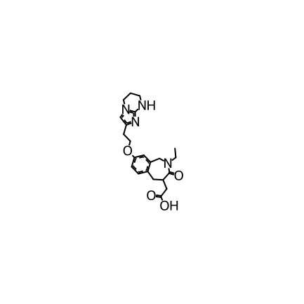 CCN1Cc2cc(OCCc3cn4c(n3)NCCC4)ccc2CC(CC(=O)O)C1=O